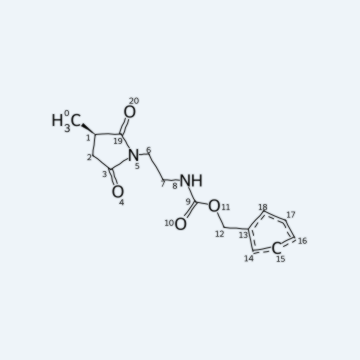 C[C@@H]1CC(=O)N(CCNC(=O)OCc2ccccc2)C1=O